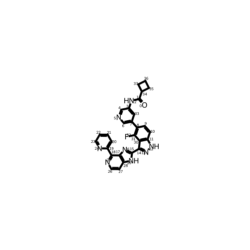 O=C(Nc1cncc(-c2ccc3[nH]nc(-c4nc5c(-c6ccccn6)nccc5[nH]4)c3c2F)c1)C1CCC1